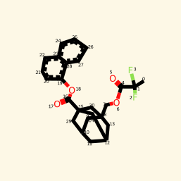 CC(F)(F)C(=O)OCC12CC3CC(C1)CC(C(=O)Oc1cccc4ccccc14)(C3)C2